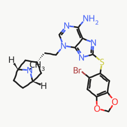 CN1[C@@H]2CC[C@H]1C[C@@H](CCn1cnc(N)c3nc(Sc4cc5c(cc4Br)OCO5)nc1-3)C2